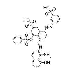 Nc1c(N=Nc2ccc(N=Nc3cccc(S(=O)(=O)O)c3)c3cc(S(=O)(=O)O)cc(OS(=O)(=O)c4ccccc4)c23)ccc2cccc(O)c12